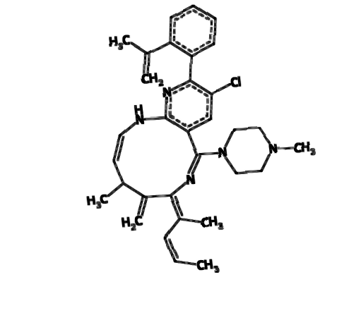 C=C(C)c1ccccc1-c1nc2c(cc1Cl)\C(N1CCN(C)CC1)=N/C(=C(C)/C=C\C)C(=C)C(C)/C=C\N2